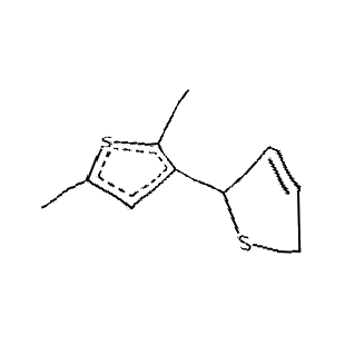 Cc1cc(C2C=CCS2)c(C)s1